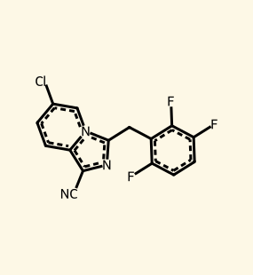 N#Cc1nc(Cc2c(F)ccc(F)c2F)n2cc(Cl)ccc12